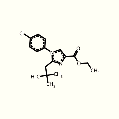 CCOC(=O)c1cn(-c2ccc(Cl)cc2)c(CC(C)(C)C)n1